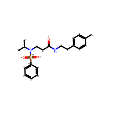 Cc1ccc(C[CH]NC(=O)CCN(C(C)C)S(=O)(=O)c2ccccc2)cc1